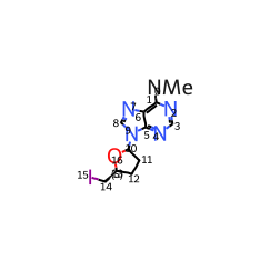 CNc1ncnc2c1ncn2C1CC[C@@H](CI)O1